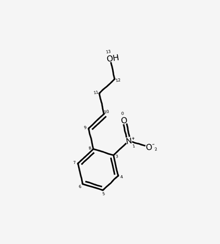 O=[N+]([O-])c1ccccc1C=CCCO